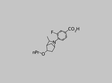 CCCOC1CC2CC1C(C)N2c1ccc(C(=O)O)cc1F